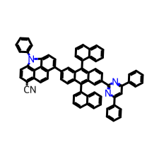 N#Cc1ccc2c3c1ccc1c(-c4ccc5c(-c6cccc7ccccc67)c6cc(-c7nc(-c8ccccc8)cc(-c8ccccc8)n7)ccc6c(-c6cccc7ccccc67)c5c4)ccc(c13)n2-c1ccccc1